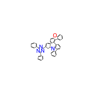 C1=CC(n2c3ccccc3c3cccc(-c4cccc5oc6ccccc6c45)c32)CC(c2nc(-c3ccccc3)nc(-c3ccccc3)n2)=C1